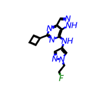 FCCn1cc(Nc2nc(C3CCC3)nc3cn[nH]c23)cn1